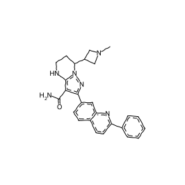 CN1CC(C2CCNc3c(C(N)=O)c(-c4ccc5ccc(-c6ccccc6)nc5c4)nn32)C1